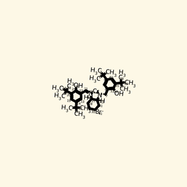 CC(C)(C)c1cc(C=[N+]2[Cr][N+](=Cc3cc(C(C)(C)C)cc(C(C)(C)C)c3O)[C@@H]3CCCC[C@H]32)c(O)c(C(C)(C)C)c1.[Br-]